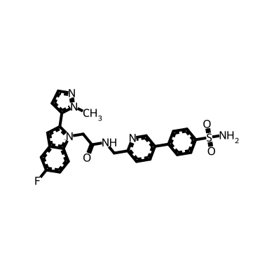 Cn1nccc1-c1cc2cc(F)ccc2n1CC(=O)NCc1ccc(-c2ccc(S(N)(=O)=O)cc2)cn1